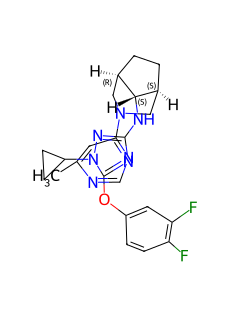 Cc1cc(N2C[C@H]3CC[C@@H](C2)[C@@H]3Nc2nc(Oc3ccc(F)c(F)c3)n(C3CC3)n2)ncn1